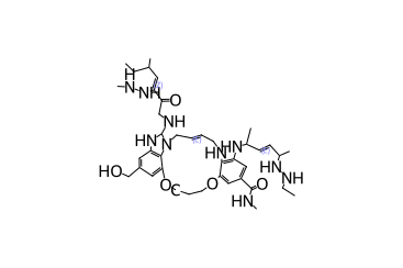 CCNNC(C)/C=C/C(C)Nc1cc(C(=O)NC)cc2c1NC/C=C/CN1c3c(cc(CO)cc3OCCCO2)NC1NCC(=O)/C(=C/C(C)CC)NNC